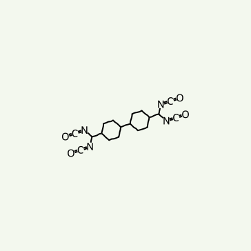 O=C=NC(N=C=O)C1CCC(C2CCC(C(N=C=O)N=C=O)CC2)CC1